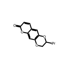 CC(C)C1COc2cc3oc(=O)ccc3cc2O1